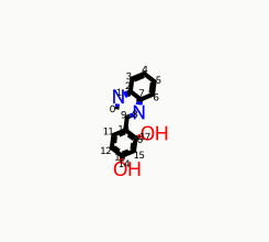 C/N=C1/C=CC=C/C1=N/Cc1ccc(O)cc1O